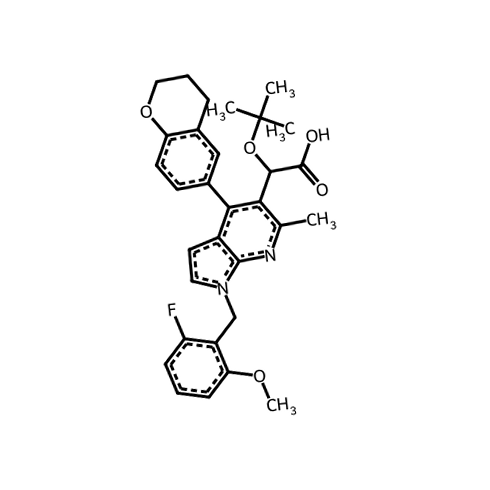 COc1cccc(F)c1Cn1ccc2c(-c3ccc4c(c3)CCCO4)c(C(OC(C)(C)C)C(=O)O)c(C)nc21